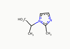 Cc1nccn1C(C)C(=O)O